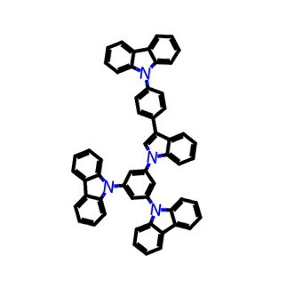 c1ccc2c(c1)c(-c1ccc(-n3c4ccccc4c4ccccc43)cc1)cn2-c1cc(-n2c3ccccc3c3ccccc32)cc(-n2c3ccccc3c3ccccc32)c1